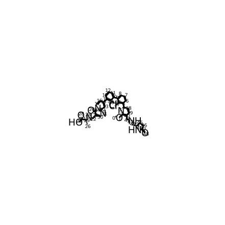 COc1nc(-c2cccc(-c3cccc(-c4ccn5c(=O)c(CN(C)[C@@H](C)C(=O)O)cnc5c4)c3Cl)c2Cl)ccc1CNC[C@H]1CCC(=O)N1